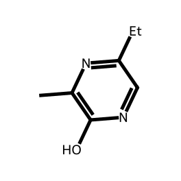 CCc1cnc(O)c(C)n1